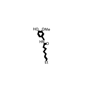 CC/C=C/CCCCC(=O)NCc1ccc(O)c(OC)c1